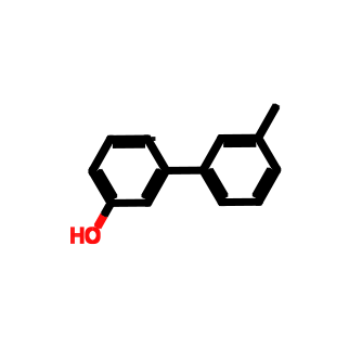 Cc1cccc(-c2[c]ccc(O)c2)c1